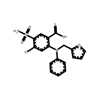 NS(=O)(=O)c1cc(C(=S)S)c(N(Cc2ccco2)c2ccccc2)cc1Cl